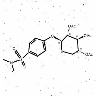 CC(=O)O[C@@H]1[C@@H](OC(C)=O)[C@H](OC(C)=O)CS[C@H]1Oc1ccc(S(=O)(=O)N(C)C)cc1